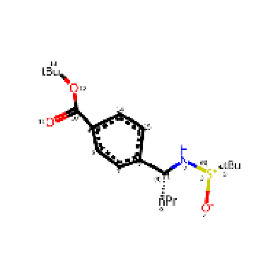 CCC[C@@H](N[S@@+]([O-])C(C)(C)C)c1ccc(C(=O)OC(C)(C)C)cc1